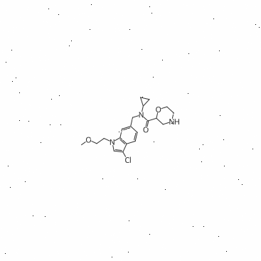 COCCn1cc(Cl)c2ccc(CN(C(=O)C3CNCCO3)C3CC3)cc21